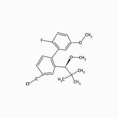 COc1ccc(F)c(-c2ccc(CCl)cc2[C@@H](OC)C(C)(C)C)c1